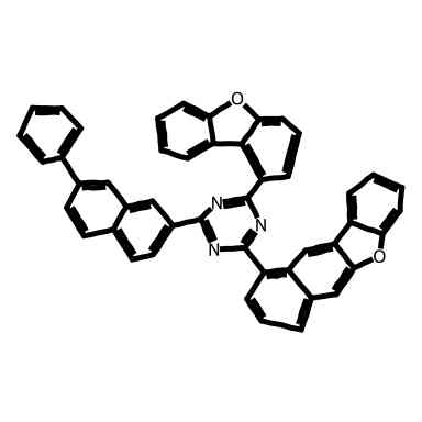 c1ccc(-c2ccc3ccc(-c4nc(-c5cccc6cc7oc8ccccc8c7cc56)nc(-c5cccc6oc7ccccc7c56)n4)cc3c2)cc1